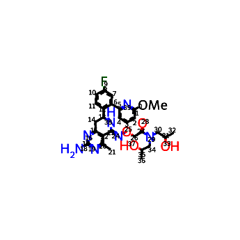 COc1cccc(-c2cc(F)ccc2C2Cc3nc(N)nc(C)c3C(=NOCC(=O)N(CC(C)O)CC(C)O)N2)n1